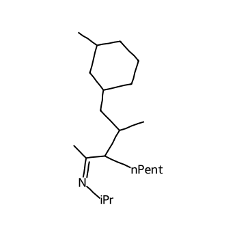 CCCCCC(/C(C)=N\C(C)C)C(C)CC1CCCC(C)C1